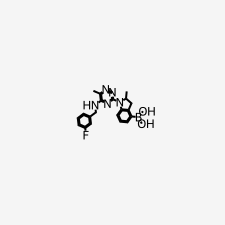 Cc1nnc(N2c3cccc(B(O)O)c3CC2C)nc1NCc1cccc(F)c1